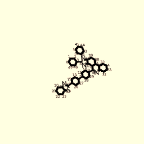 c1ccc(-c2nc3c4c(-c5ccc(-c6ccc(-c7nc8ccccc8s7)cc6)cc5)nc5ccccc5c4ccc3n2-c2ccccc2)cc1